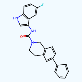 O=C(Nc1c[nH]c2ccc(F)cc12)N1CCc2cc(-c3ccccc3)ccc2C1